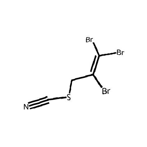 N#CSCC(Br)=C(Br)Br